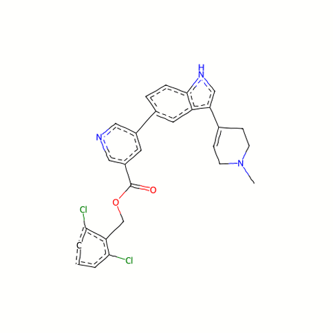 CN1CC=C(c2c[nH]c3ccc(-c4cncc(C(=O)OCc5c(Cl)cccc5Cl)c4)cc23)CC1